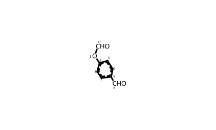 O=COc1ccc(C=O)cc1